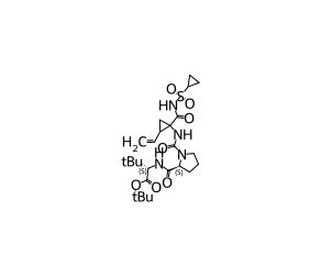 C=CC1CC1(NC(=O)N1CCC[C@H]1C(=O)N[C@H](C(=O)OC(C)(C)C)C(C)(C)C)C(=O)NS(=O)(=O)C1CC1